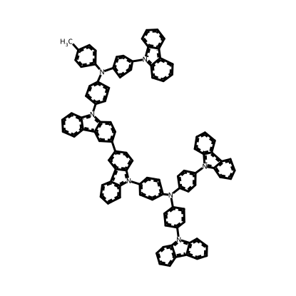 Cc1ccc(N(c2ccc(-n3c4ccccc4c4ccccc43)cc2)c2ccc(-n3c4ccccc4c4cc(-c5ccc6c(c5)c5ccccc5n6-c5ccc(N(c6ccc(-n7c8ccccc8c8ccccc87)cc6)c6ccc(-n7c8ccccc8c8ccccc87)cc6)cc5)ccc43)cc2)cc1